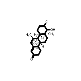 C[C@@H]1CC2=CC(=O)CC[C@]2(C)[C@H]2CC[C@]3(C)C(O)C(Cl)=CC[C@H]3[C@H]12